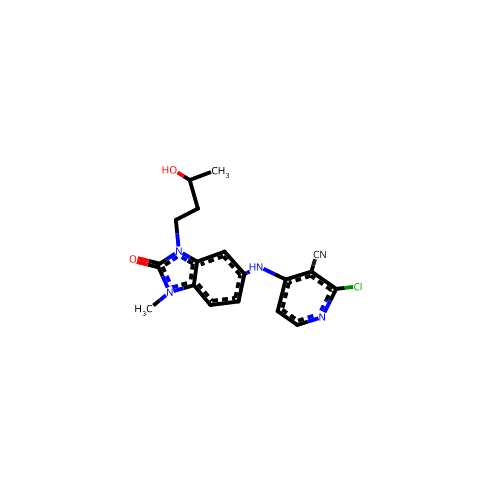 CC(O)CCn1c(=O)n(C)c2ccc(Nc3ccnc(Cl)c3C#N)cc21